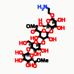 COC(=O)C1OC(O[C@H]2[C@@H](O)[C@@H](O)[C@H](OCCN)O[C@H]2CO)C(O)C(O[C@@H]2O[C@H](CO)[C@@H](O[C@@H]3O[C@H](C(=O)OC)[C@@H](O)[C@@H](O)[C@@H]3O)[C@H](O)[C@@H]2O)C1O